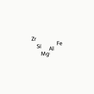 [Al].[Fe].[Mg].[Si].[Zr]